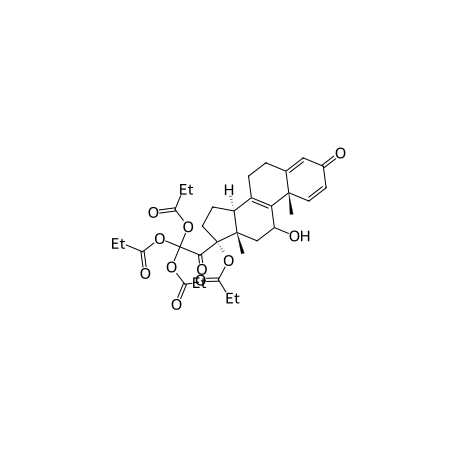 CCC(=O)OC(OC(=O)CC)(OC(=O)CC)C(=O)[C@@]1(OC(=O)CC)CC[C@H]2C3=C(C(O)C[C@@]21C)[C@@]1(C)C=CC(=O)C=C1CC3